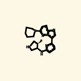 F[C@H]1CNC[C@@H]1Nc1cccc(-c2cnc3ccc(N4CCCCC4)nn23)n1